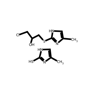 Cc1c[nH]c(S)n1.Cc1c[nH]c(SCC(O)CCl)n1